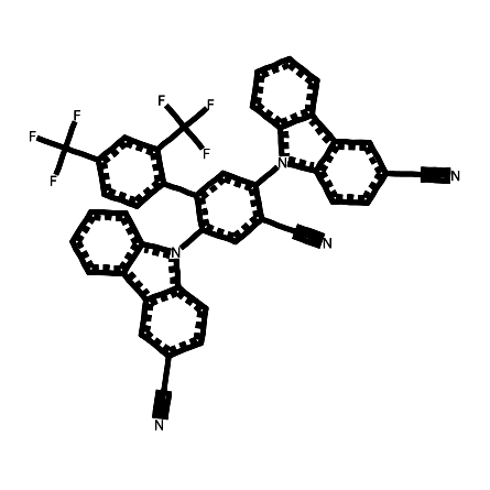 N#Cc1ccc2c(c1)c1ccccc1n2-c1cc(-c2ccc(C(F)(F)F)cc2C(F)(F)F)c(-n2c3ccccc3c3cc(C#N)ccc32)cc1C#N